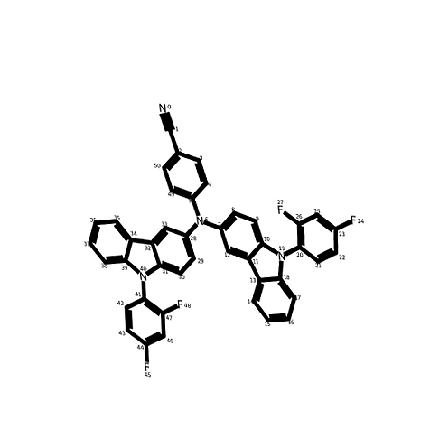 N#Cc1ccc(N(c2ccc3c(c2)c2ccccc2n3-c2ccc(F)cc2F)c2ccc3c(c2)c2ccccc2n3-c2ccc(F)cc2F)cc1